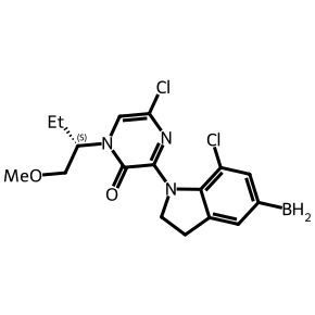 Bc1cc(Cl)c2c(c1)CCN2c1nc(Cl)cn([C@@H](CC)COC)c1=O